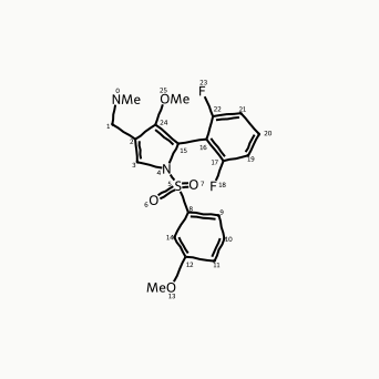 CNCc1cn(S(=O)(=O)c2cccc(OC)c2)c(-c2c(F)cccc2F)c1OC